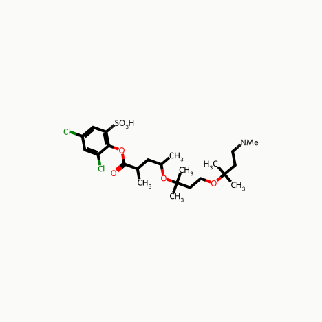 CNCCC(C)(C)OCCC(C)(C)OC(C)CC(C)C(=O)Oc1c(Cl)cc(Cl)cc1S(=O)(=O)O